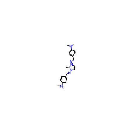 CC1N(N=Cc2ccc(N(C)C)cc2)C=CN1N=Cc1ccc(N(C)C)cc1